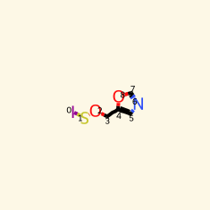 ISOCc1cnco1